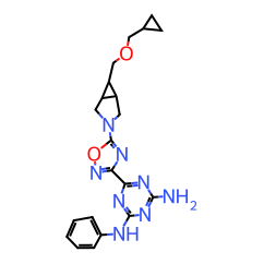 Nc1nc(Nc2ccccc2)nc(-c2noc(N3CC4C(COCC5CC5)C4C3)n2)n1